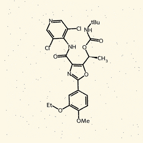 CCOc1cc(-c2nc(C(=O)Nc3c(Cl)cncc3Cl)c([C@H](C)OC(=O)NC(C)(C)C)o2)ccc1OC